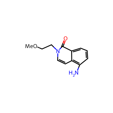 COCCn1ccc2c(N)cccc2c1=O